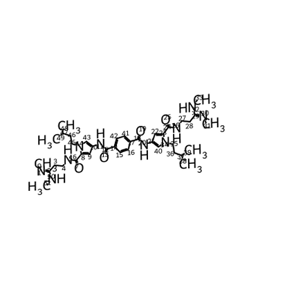 C/N=C(\CCNC(=O)c1cc(NC(=O)c2ccc(C(=O)Nc3cc(C(=O)NCC/C(=N\C)NC)n(CCC(C)C)c3)cc2)cn1CCC(C)C)NC